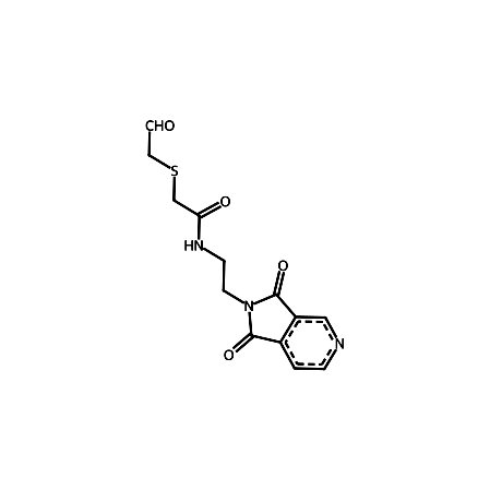 O=CCSCC(=O)NCCN1C(=O)c2ccncc2C1=O